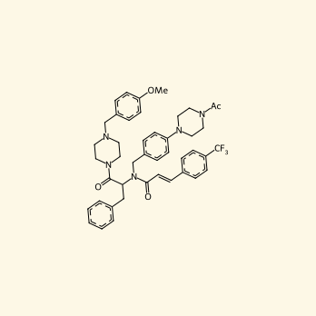 COc1ccc(CN2CCN(C(=O)C(Cc3ccccc3)N(Cc3ccc(N4CCN(C(C)=O)CC4)cc3)C(=O)C=Cc3ccc(C(F)(F)F)cc3)CC2)cc1